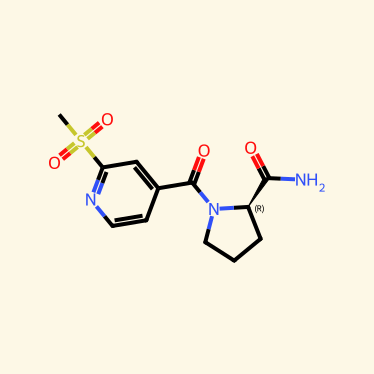 CS(=O)(=O)c1cc(C(=O)N2CCC[C@@H]2C(N)=O)ccn1